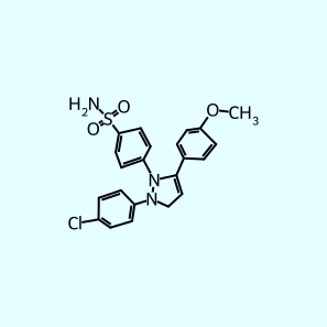 COc1ccc(C2=CCN(c3ccc(Cl)cc3)N2c2ccc(S(N)(=O)=O)cc2)cc1